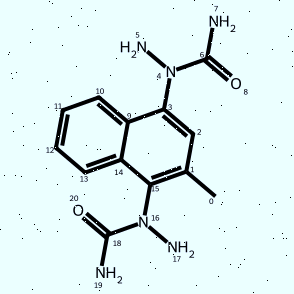 Cc1cc(N(N)C(N)=O)c2ccccc2c1N(N)C(N)=O